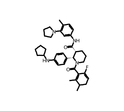 CC1=C(C(=O)N2CCC[C@@H](C(=O)Nc3ccc(C)c(N4CCCC4)c3)[C@H]2c2ccc(NC3CCCC3)cc2)C(F)=CCC1C